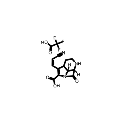 N#C/C=C\C1=C(C(=O)O)N2C(=O)[C@H]3NCCC1[C@H]32.O=C(O)C(F)(F)F